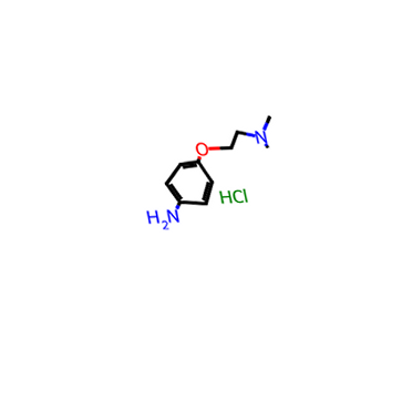 CN(C)CCOc1ccc(N)cc1.Cl